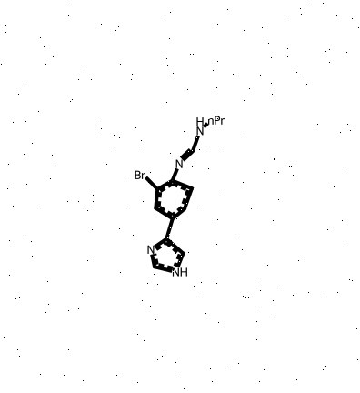 CCCN/C=N/c1ccc(-c2c[nH]cn2)cc1Br